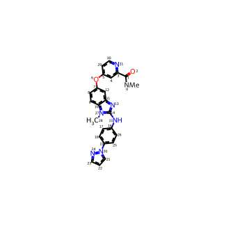 CNC(=O)c1cc(Oc2ccc3c(c2)nc(Nc2ccc(-n4cccn4)cc2)n3C)ccn1